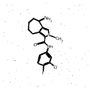 Cn1cc2c(c1C(=O)Nc1ccc(F)c(Cl)c1)CCCCC2N